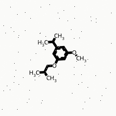 COc1cc(OCC(C)C)cc([C](C)C)c1